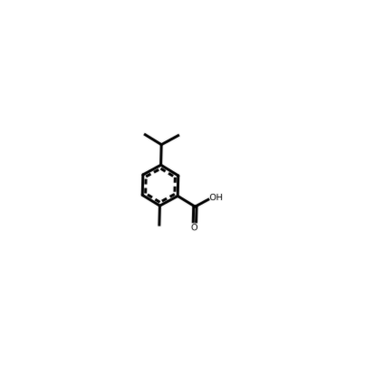 Cc1ccc(C(C)C)cc1C(=O)O